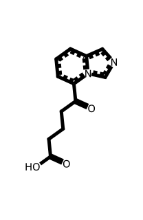 O=C(O)CCCC(=O)c1cccc2cncn12